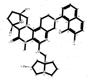 CN1C(=O)C2[C@@H]3CC[C@H](CN2c2c4c(nc(OC[C@@]56CCCN5C[C@H](F)C6)c21)CN(c1cccc2ccc(F)c(Cl)c12)CC4)N3